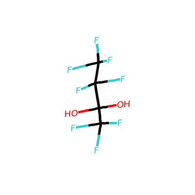 OC(O)(C(F)(F)F)C(F)(F)C(F)(F)F